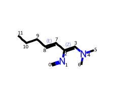 C=NC(=C\N(C)C)/C=C/CCC